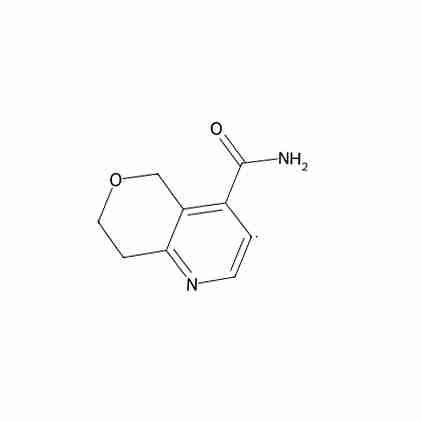 NC(=O)c1[c]cnc2c1COCC2